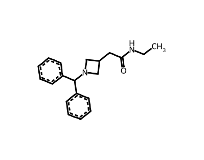 CCNC(=O)CC1CN(C(c2ccccc2)c2ccccc2)C1